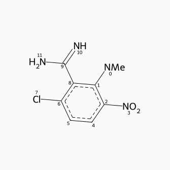 CNc1c([N+](=O)[O-])ccc(Cl)c1C(=N)N